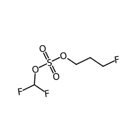 O=S(=O)(OCCCF)OC(F)F